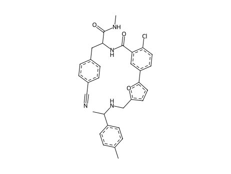 CNC(=O)C(Cc1ccc(C#N)cc1)NC(=O)c1cc(-c2ccc(CNC(C)c3ccc(C)cc3)o2)ccc1Cl